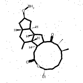 BO[C@@H]1C[C@H]2CC(C)[C@@H]3[C@@H](CC4C(=O)[C@H](C)[C@@H](C)CCC[C@H](CC)OC(=O)C[C@H]43)[C@@H]2C1